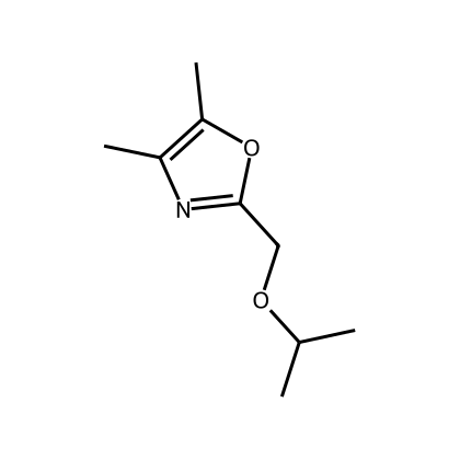 Cc1nc(COC(C)C)oc1C